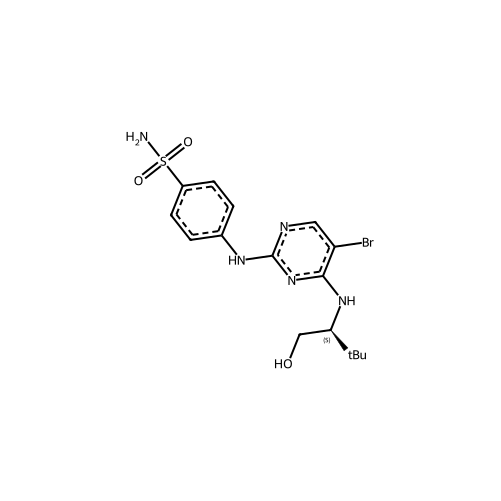 CC(C)(C)[C@@H](CO)Nc1nc(Nc2ccc(S(N)(=O)=O)cc2)ncc1Br